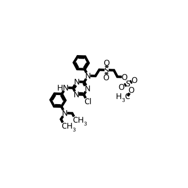 CCN(CC)c1cccc(Nc2nc(Cl)nc(N(CCS(=O)(=O)CCOS(=O)(=O)OC)c3ccccc3)n2)c1